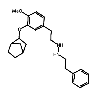 COc1ccc(CCNNCCc2ccccc2)cc1OC1CC2CCC1C2